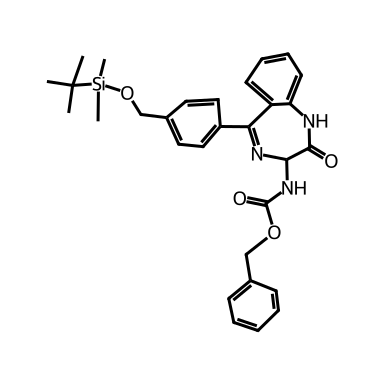 CC(C)(C)[Si](C)(C)OCc1ccc(C2=NC(NC(=O)OCc3ccccc3)C(=O)Nc3ccccc32)cc1